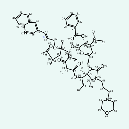 CC[C@@H](OC(=O)[C@H](C)C(=O)[C@H](C)[C@@H](O[C@@H]1O[C@H](C)C[C@H](N(C)C)[C@H]1OC(=O)c1ccccc1)C(C)(C[C@@H](C)C(C)=O)OC/C=C/c1cnc2ccccc2c1)[C@@]1(C)OC(=O)N(CCCN2CCOCC2)[C@@H]1C